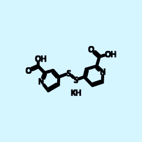 O=C(O)c1cc(SSc2ccnc(C(=O)O)c2)ccn1.[KH]